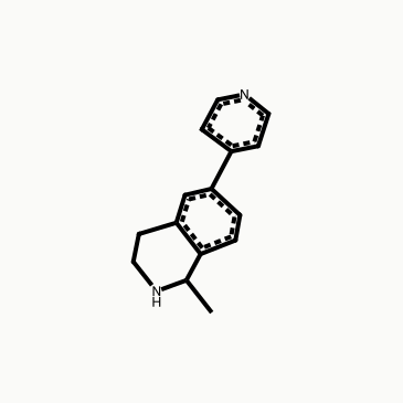 CC1NCCc2cc(-c3ccncc3)ccc21